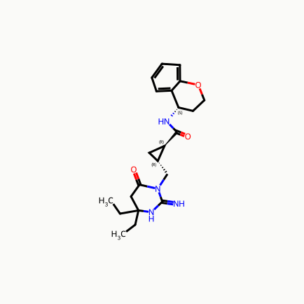 CCC1(CC)CC(=O)N(C[C@@H]2C[C@H]2C(=O)N[C@H]2CCOc3ccccc32)C(=N)N1